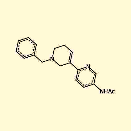 CC(=O)Nc1ccc(C2=CCCN(Cc3ccccc3)C2)nc1